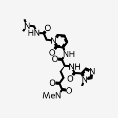 CNC(=O)C(=O)CC[C@H](NC(=O)c1cncn1C)C(=O)Nc1cccn(CC(=O)NCN(C)C)c1=O